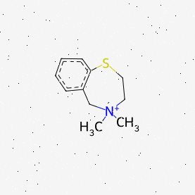 C[N+]1(C)CCSc2ccccc2C1